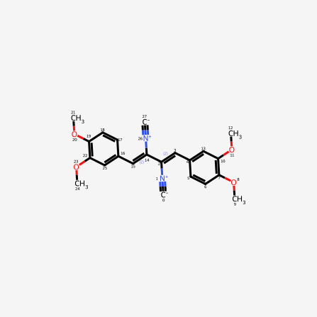 [C-]#[N+]C(=C\c1ccc(OC)c(OC)c1)/C(=C/c1ccc(OC)c(OC)c1)[N+]#[C-]